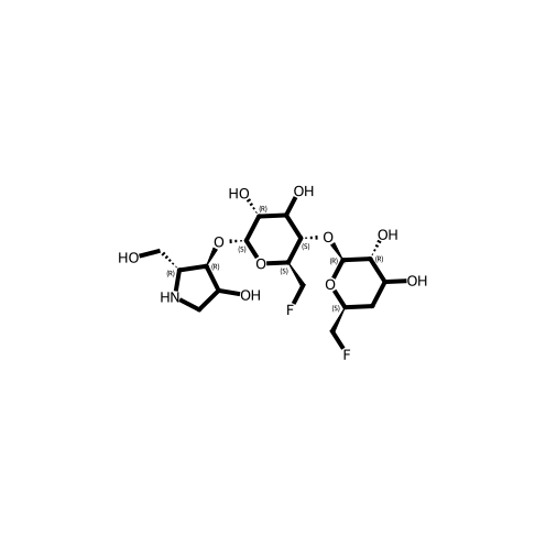 OC[C@H]1NCC(O)[C@@H]1O[C@H]1O[C@H](CF)[C@@H](O[C@@H]2O[C@H](CF)CC(O)[C@H]2O)C(O)[C@H]1O